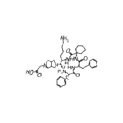 NCCCCC(NC(=O)C1(NC(=O)C(Cc2ccccc2)NC(=O)C(N)Cc2ccccc2)CCCCC1)C(=O)N1CC2CN(CC(=O)O)CC2C1